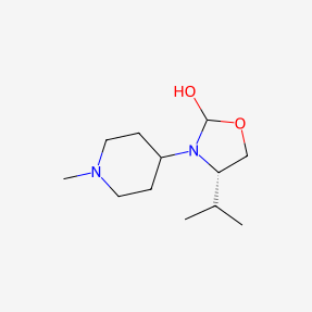 CC(C)[C@H]1COC(O)N1C1CCN(C)CC1